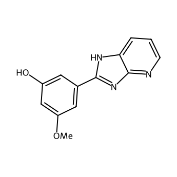 COc1cc(O)cc(-c2nc3ncccc3[nH]2)c1